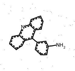 Nc1cccc(-c2c3ccccc3nc3ccccc23)c1